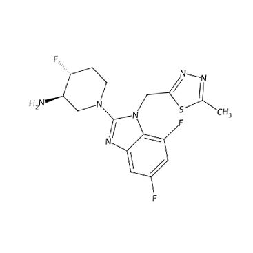 Cc1nnc(Cn2c(N3CC[C@@H](F)[C@H](N)C3)nc3cc(F)cc(F)c32)s1